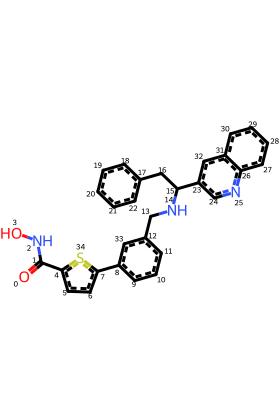 O=C(NO)c1ccc(-c2cccc(CNC(Cc3ccccc3)c3cnc4ccccc4c3)c2)s1